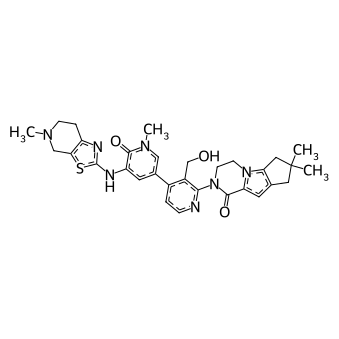 CN1CCc2nc(Nc3cc(-c4ccnc(N5CCn6c(cc7c6CC(C)(C)C7)C5=O)c4CO)cn(C)c3=O)sc2C1